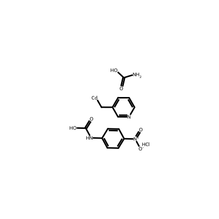 Cl.NC(=O)O.O=C(O)Nc1ccc([N+](=O)[O-])cc1.[Cd][CH2]c1cccnc1